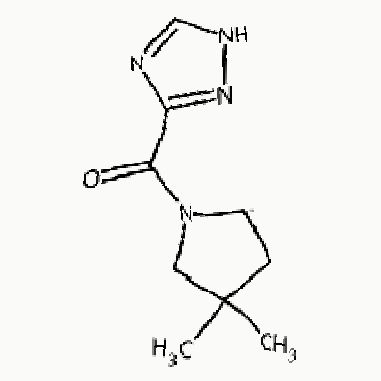 CC1(C)C[CH]N(C(=O)c2nc[nH]n2)C1